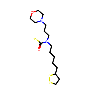 O=C(S)N(CCCCCC1CCSS1)CCCN1CCOCC1